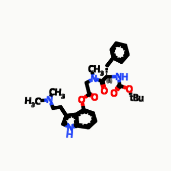 CN(C)CCc1c[nH]c2cccc(OC(=O)CN(C)C(=O)[C@H](Cc3ccccc3)NC(=O)OC(C)(C)C)c12